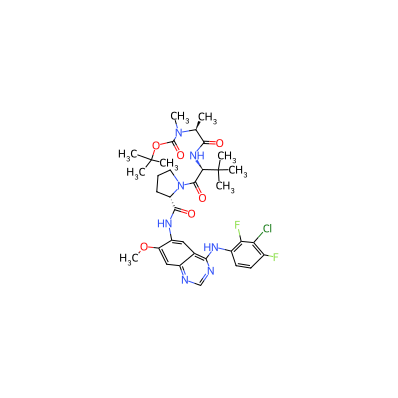 COc1cc2ncnc(Nc3ccc(F)c(Cl)c3F)c2cc1NC(=O)[C@@H]1CCCN1C(=O)[C@@H](NC(=O)[C@H](C)N(C)C(=O)OC(C)(C)C)C(C)(C)C